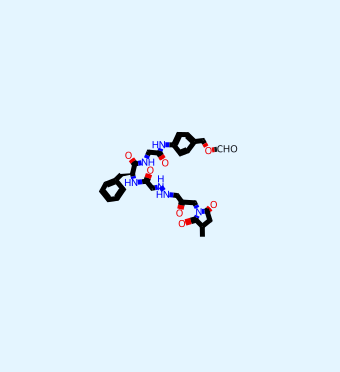 CC1CC(=O)N(CC(=O)CNNCC(=O)N[C@@H](Cc2ccccc2)C(=O)NCC(=O)Nc2ccc(COC=O)cc2)C1=O